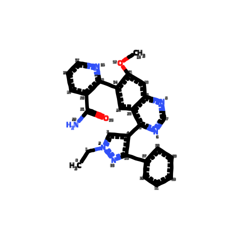 CCn1cc(-c2ncnc3cc(OC)c(-c4ncccc4C(N)=O)cc23)c(-c2ccccc2)n1